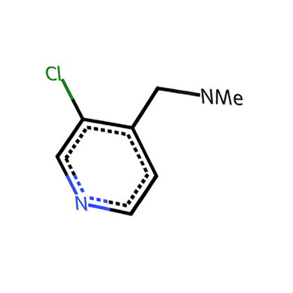 CNCc1ccncc1Cl